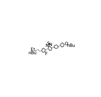 CCCCOc1ccc(-c2ccc(-c3ccc(-c4ccc(CCC(CC)CCCC)cc4F)c4nsnc34)cc2)cc1